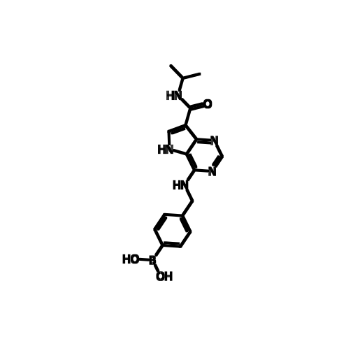 CC(C)NC(=O)c1c[nH]c2c(NCc3ccc(B(O)O)cc3)ncnc12